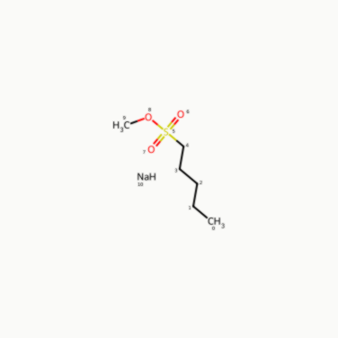 CCCCCS(=O)(=O)OC.[NaH]